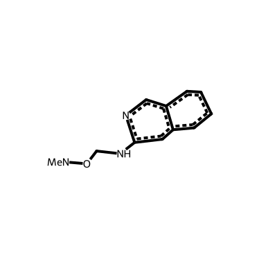 CNOCNc1cc2ccccc2cn1